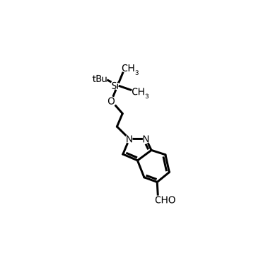 CC(C)(C)[Si](C)(C)OCCn1cc2cc(C=O)ccc2n1